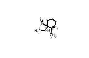 CNC1(N=O)CCCN=C1C